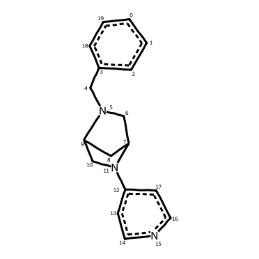 c1ccc(CN2CC3CC2CN3c2ccncc2)cc1